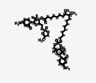 CC1COP(=O)(OCC2O[C@@H](n3ccc(N)nc3=O)C(F)(F)[C@@H]2OC(=O)CCCCCCC(C)C(C)CCCCCCCCOP2(=O)OC[C@H]3O[C@@H](n4ccc(N)nc4=O)C(F)(F)[C@@H]3O2)O1